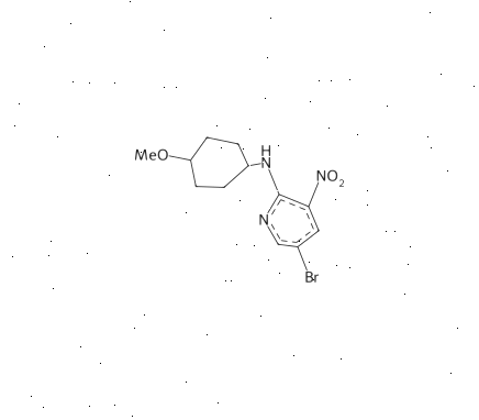 COC1CCC(Nc2ncc(Br)cc2[N+](=O)[O-])CC1